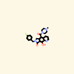 CN1CCN(C(=O)c2c3c(c(O)c4ncccc24)C(=O)N(Cc2ccc(F)cc2)C3)CC1